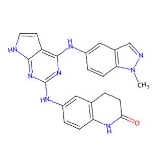 Cn1ncc2cc(Nc3nc(Nc4ccc5c(c4)CCC(=O)N5)nc4[nH]ccc34)ccc21